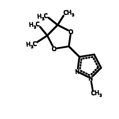 Cn1ccc(C2OC(C)(C)C(C)(C)O2)n1